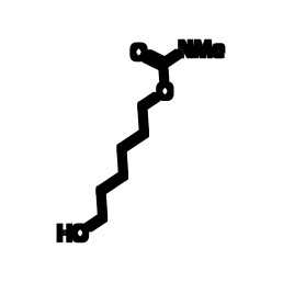 CNC(=O)OCCCCCCO